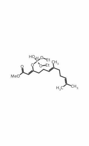 CCO[PH](O)(OCC)O/C(=C\C(=O)OC)CC/C=C(\C)CCC=C(C)C